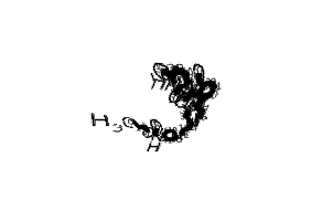 CCCCOC(=O)NC1CCN(CCCN2CCN(c3cccc4c3C(=O)N(C3CCC(=O)NC3=O)C4=O)CC2)CC1